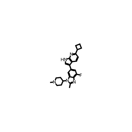 Cc1nc2c(F)cc(-c3c[nH]c4nc(C5CCC5)ccc34)cc2n1C1CCN(C)CC1